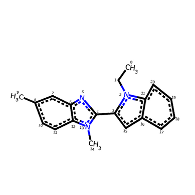 CCn1c(-c2nc3cc(C)ccc3n2C)cc2ccccc21